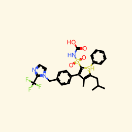 CC1=C(CC(C)C)[SH](c2ccccc2)C(S(=O)(=O)NC(=O)O)=C1c1ccc(Cn2ccnc2C(F)(F)F)cc1